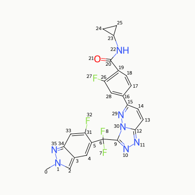 Cn1cc2cc(C(F)(F)c3nnc4ccc(-c5ccc(C(=O)NC6CC6)c(F)c5)nn34)c(F)cc2n1